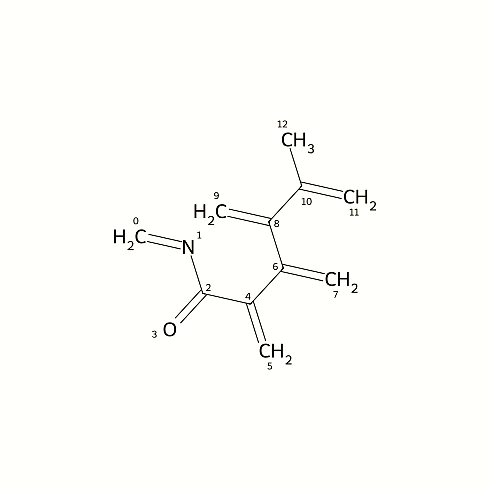 C=NC(=O)C(=C)C(=C)C(=C)C(=C)C